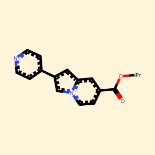 CC(C)OC(=O)c1ccn2cc(-c3ccncc3)cc2c1